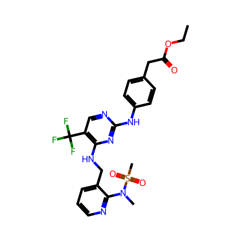 CCOC(=O)Cc1ccc(Nc2ncc(C(F)(F)F)c(NCc3cccnc3N(C)S(C)(=O)=O)n2)cc1